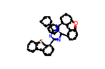 c1ccc(C2=NC(c3cccc4c3sc3ccccc34)=NC(c3cccc4oc5cccc(-c6ccccc6)c5c34)N2)cc1